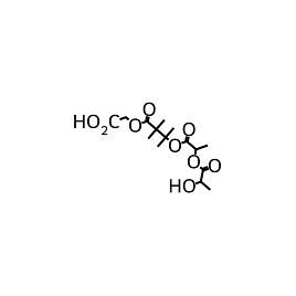 CC(O)C(=O)OC(C)C(=O)OC(C)(C)C(C)(C)C(=O)OCC(=O)O